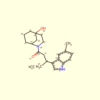 C.Cc1ccc2[nH]cc(C(C)CC(=O)N3CCC4(O)CCCC3C4)c2c1